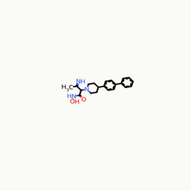 CC(=N)C(C(=O)NO)N1CCC(c2ccc(-c3ccccc3)cc2)CC1